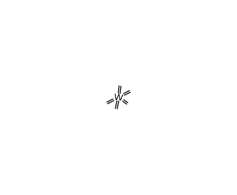 [CH2]=[W](=[CH2])(=[CH2])(=[CH2])=[CH2]